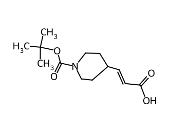 CC(C)(C)OC(=O)N1CCC(C=CC(=O)O)CC1